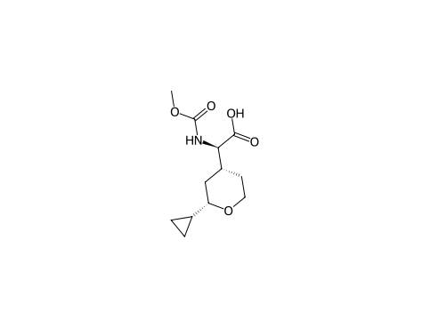 COC(=O)N[C@@H](C(=O)O)[C@@H]1CCO[C@H](C2CC2)C1